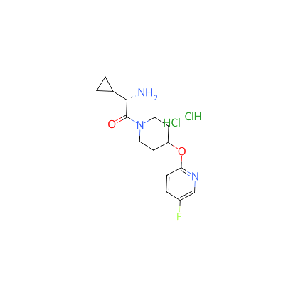 Cl.Cl.N[C@H](C(=O)N1CCC(Oc2ccc(F)cn2)CC1)C1CC1